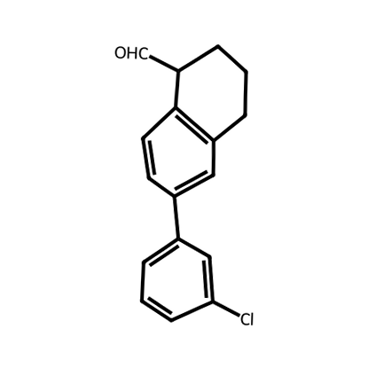 O=CC1CCCc2cc(-c3cccc(Cl)c3)ccc21